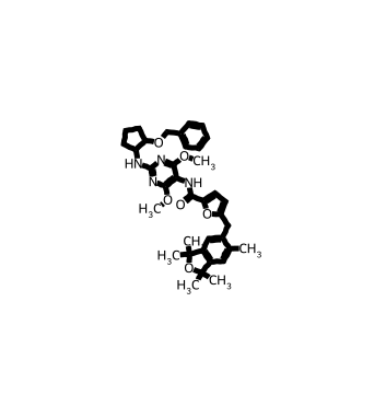 COc1nc(NC2CCCC2OCc2ccccc2)nc(OC)c1NC(=O)c1ccc(Cc2cc3c(cc2C)C(C)(C)OC3(C)C)o1